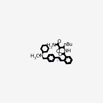 CCCCC(NC(=O)c1ccccc1/C=C/c1ccc(CN(C)C2CCCCC2)cc1)C(=O)C(N)=O